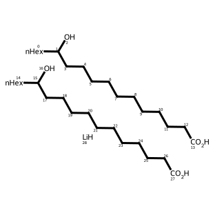 CCCCCCC(O)CCCCCCCCCCC(=O)O.CCCCCCC(O)CCCCCCCCCCC(=O)O.[LiH]